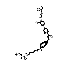 C=CC(=O)OCCOc1ccc(-c2ccc(C(=O)/C=C/c3ccc(OCCCCCCOC(=O)C(=C)CO)cc3)cc2)cc1CC